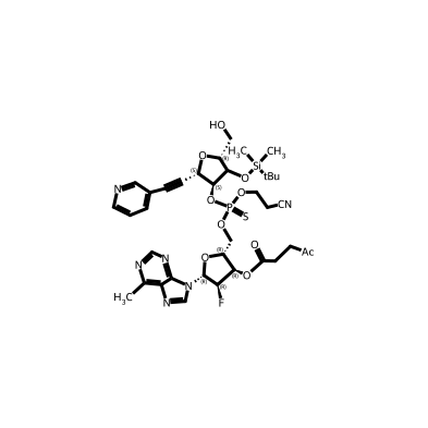 CC(=O)CCC(=O)O[C@H]1[C@@H](F)[C@H](n2cnc3c(C)ncnc32)O[C@@H]1COP(=S)(OCCC#N)O[C@@H]1C(O[Si](C)(C)C(C)(C)C)[C@@H](CO)O[C@H]1C#Cc1cccnc1